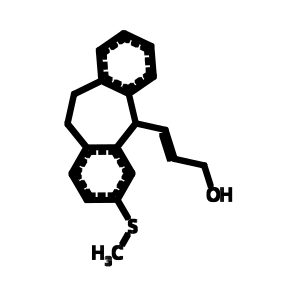 CSc1ccc2c(c1)C(/C=C/CO)c1ccccc1CC2